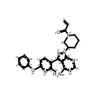 C=CC(=O)N1CCCC(n2nc(-c3ccc(Oc4ccccc4)nc3C)c3c(N)ncnc32)C1